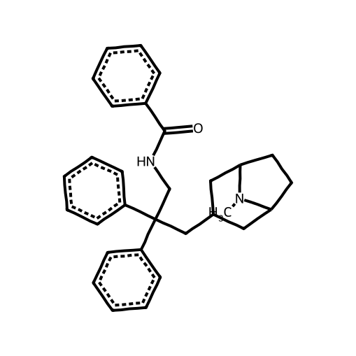 CN1C2CCC1CC(CC(CNC(=O)c1ccccc1)(c1ccccc1)c1ccccc1)C2